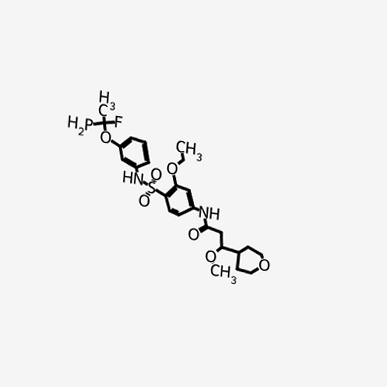 CCOc1cc(NC(=O)CC(OC)C2CCOCC2)ccc1S(=O)(=O)Nc1cccc(OC(C)(F)P)c1